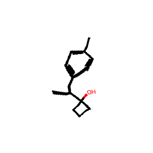 Cc1ccc(C(C)C2(O)CCC2)cc1